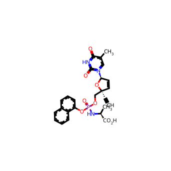 C#C[C@@]1(COP(=O)(N[C@@H](C)C(=O)O)Oc2cccc3ccccc23)C=C[C@H](n2cc(C)c(=O)[nH]c2=O)O1